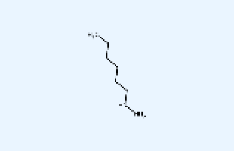 CCCCCCNN